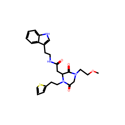 COCCN1CC(=O)N(CCc2cccs2)C(CC(=O)NCCc2c[nH]c3ccccc23)C1=O